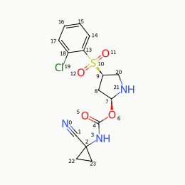 N#CC1(NC(=O)O[C@H]2C[C@@H](S(=O)(=O)c3ccccc3Cl)CN2)CC1